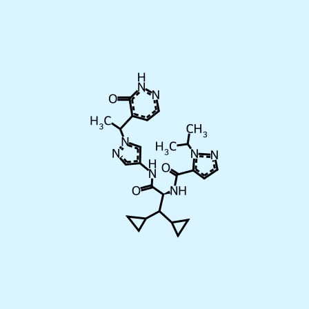 CC(c1ccn[nH]c1=O)n1cc(NC(=O)[C@@H](NC(=O)c2ccnn2C(C)C)C(C2CC2)C2CC2)cn1